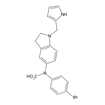 CC(C)c1ccc(N(C(=O)O)c2ccc3c(c2)CCN3Cc2ccc[nH]2)cc1